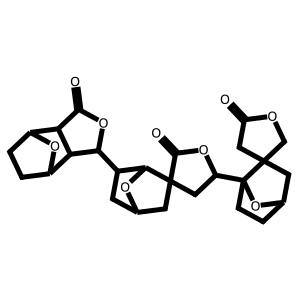 O=C1CC2(CO1)CC1CCC2(C2CC3(CC4CC(C5OC(=O)C6C7CCC(O7)C56)C3O4)C(=O)O2)O1